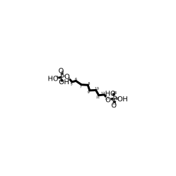 O=P(O)(O)OCCCCCCCCOP(=O)(O)O